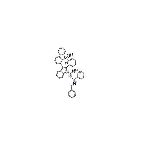 N/C(=C\C(=N/Cc1ccccc1)c1ccccc1)n1c2c(c3ccccc31)-c1ccccc1[PH](O)(c1ccccc1)C1=CCCC=C12